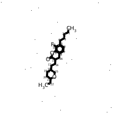 CCCCCc1ccc2c(c1F)OC(=O)C(CCC1CCC(CC)OC1)C2